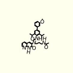 COc1cccc(-c2cc(C(C)C)c(NC(=O)N(CCCNC(C)=O)c3cc4cccnc4[nH]c3=O)c(C(C)C)c2)c1